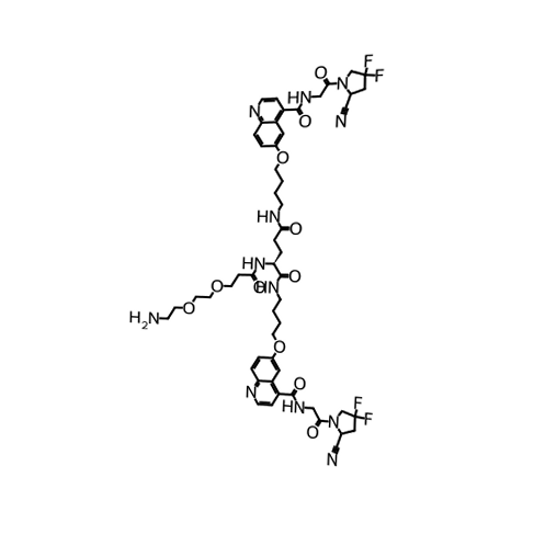 N#CC1CC(F)(F)CN1C(=O)CNC(=O)c1ccnc2ccc(OCCCCNC(=O)CC[C@H](NC(=O)CCOCCOCCN)C(=O)NCCCCOc3ccc4nccc(C(=O)NCC(=O)N5CC(F)(F)CC5C#N)c4c3)cc12